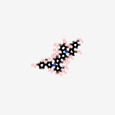 Bc1ccc(-c2ccc(-n3c4c(B)c(B)c(B)c(B)c4c4c(B)c(-c5c(B)c(B)c6c(c5B)c5c(B)c(B)c(B)c(B)c5n6-c5ccc(B)c(-c6ccc(B)cc6B)c5)c(B)c(B)c43)cc2B)cc1